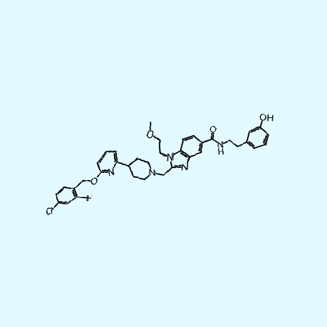 COCCn1c(CN2CCC(c3cccc(OCc4ccc(Cl)cc4F)n3)CC2)nc2cc(C(=O)NCCc3cccc(O)c3)ccc21